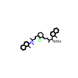 CNC(/C(C)=C/C=C1\CCCC(/C=C/C(C)=[N+](\C)c2ccc3ccccc3c2C)=C1Cl)c1ccc2ccccc2c1C